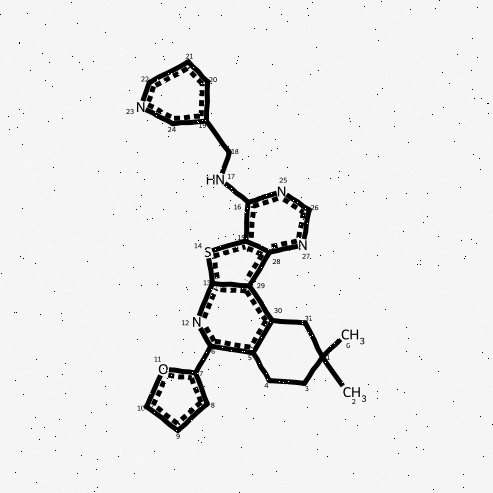 CC1(C)CCc2c(-c3ccco3)nc3sc4c(NCc5cccnc5)ncnc4c3c2C1